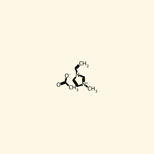 C=Cn1cc[n+](C)c1.CC(=O)[O-]